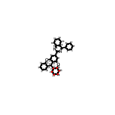 c1ccc(-c2nc(-c3cc4c5c(c3)Oc3ccccc3C5(c3ccccc3)c3ccccc3O4)nc3ccccc23)cc1